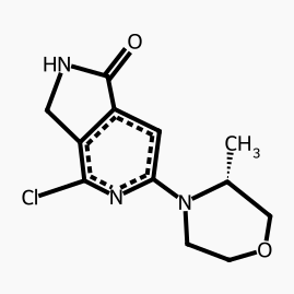 C[C@@H]1COCCN1c1cc2c(c(Cl)n1)CNC2=O